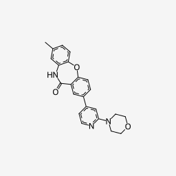 Cc1ccc2c(c1)NC(=O)c1cc(-c3ccnc(N4CCOCC4)c3)ccc1O2